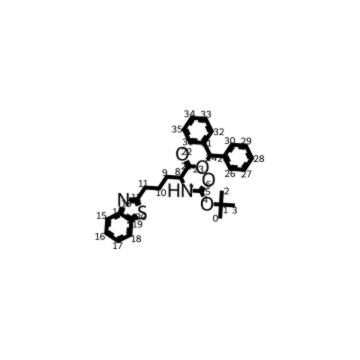 CC(C)(C)OC(=O)NC(CCCc1nc2ccccc2s1)C(=O)OC(c1ccccc1)c1ccccc1